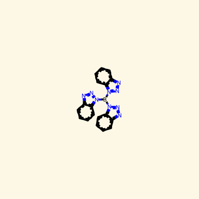 c1ccc2c(c1)nnn2B(n1nnc2ccccc21)n1nnc2ccccc21